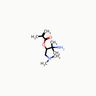 C=C(C)C(=O)OC(CN(C)C)C(C)(C)N